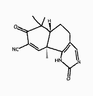 CC1(C)C(=O)C(C#N)=C[C@]2(C)c3[nH]c(=O)ncc3CC[C@@H]12